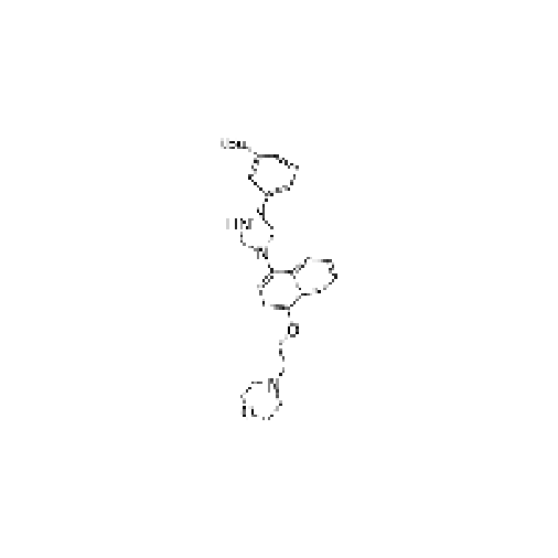 CC(C)(C)c1cccc(N2CN(c3ccc(OCCN4CCOCC4)c4ccccc34)CN2)c1